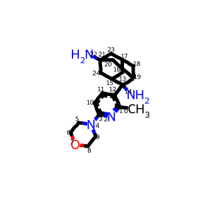 Cc1nc(N2CCOCC2)ccc1C1(N)C2CC3CC1CC(N)(C3)C2